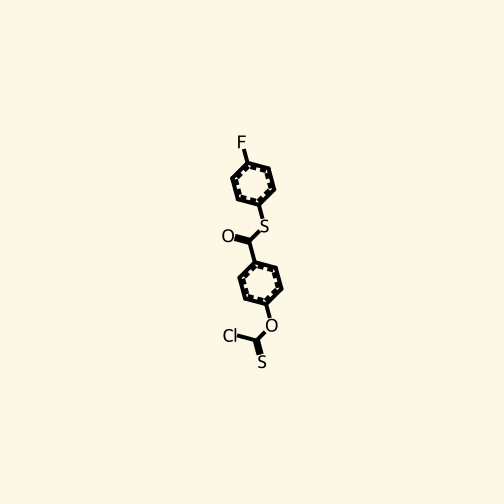 O=C(Sc1ccc(F)cc1)c1ccc(OC(=S)Cl)cc1